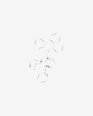 Fc1ccc(N(c2ccc3c(c2)-c2c4cccc2-c2cccc-3c2-c2ccccc2-4)c2cccc3ccccc23)cc1